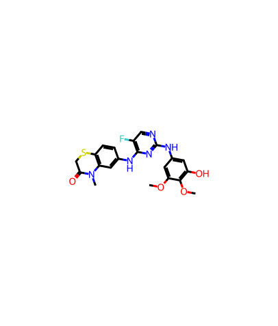 COc1cc(Nc2ncc(F)c(Nc3ccc4c(c3)N(C)C(=O)CS4)n2)cc(O)c1OC